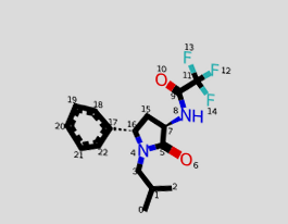 CC(C)CN1C(=O)[C@H](NC(=O)C(F)(F)F)C[C@H]1c1ccccc1